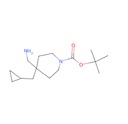 CC(C)(C)OC(=O)N1CCC(CN)(CC2CC2)CC1